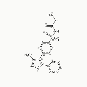 Cc1onc(-c2ccccc2)c1-c1ccc(S(=O)(=O)NC(=O)CN)cc1